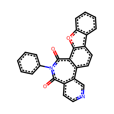 O=c1c2ccncc2c2ccc3c4ccccc4oc3c2c(=O)n1-c1ccccc1